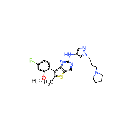 COc1cc(F)ccc1-c1c(C)sc2cnc(Nc3cnn(CCCN4CCCC4)c3)nc12